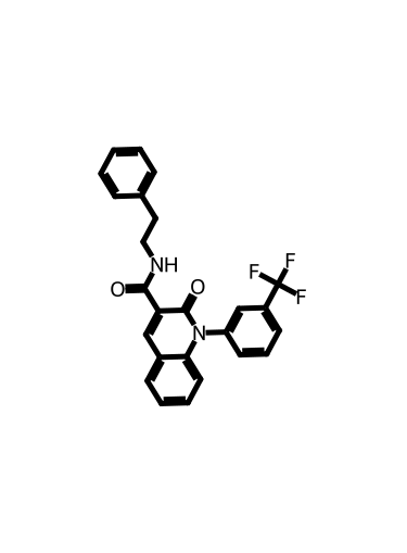 O=C(NCCc1ccccc1)c1cc2ccccc2n(-c2cccc(C(F)(F)F)c2)c1=O